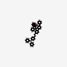 C(=C\c1ccc2c(c1)C(c1ccccc1)(c1ccccc1)c1c-2ccc2c3ccccc3n(-c3ccccc3)c12)/c1ccc(N(c2ccccc2)c2ccccc2)cc1